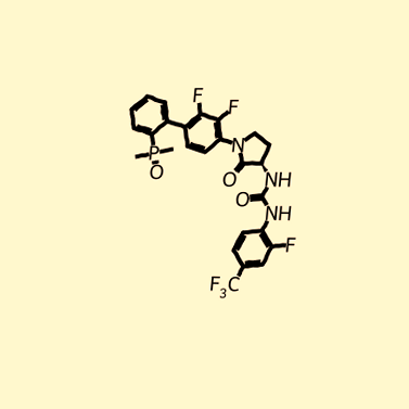 CP(C)(=O)c1ccccc1-c1ccc(N2CC[C@@H](NC(=O)Nc3ccc(C(F)(F)F)cc3F)C2=O)c(F)c1F